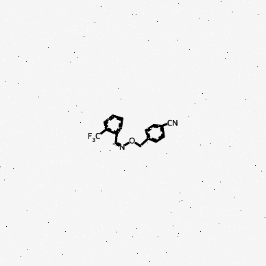 N#Cc1ccc(CO/N=[C]\c2ccccc2C(F)(F)F)cc1